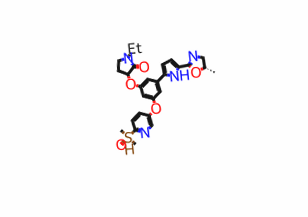 CCN1CCC(Oc2cc(Oc3ccc([SH](C)(C)=O)nc3)cc(-c3ccc(C4=NC[C@H](C)O4)[nH]3)c2)C1=O